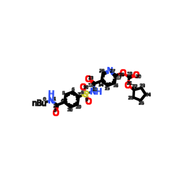 CCCCNC(=O)c1ccc(S(=O)(=O)NC(=O)c2ccc(OC(=O)OC3CCCC3)nc2)cc1